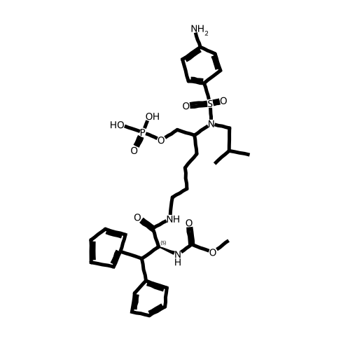 COC(=O)N[C@H](C(=O)NCCCCC(COP(=O)(O)O)N(CC(C)C)S(=O)(=O)c1ccc(N)cc1)C(c1ccccc1)c1ccccc1